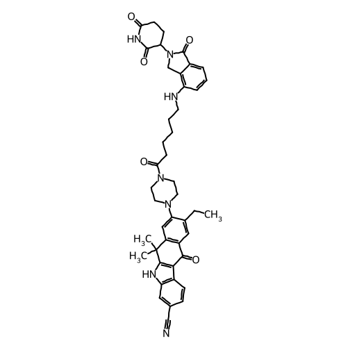 CCc1cc2c(cc1N1CCN(C(=O)CCCCCNc3cccc4c3CN(C3CCC(=O)NC3=O)C4=O)CC1)C(C)(C)c1[nH]c3cc(C#N)ccc3c1C2=O